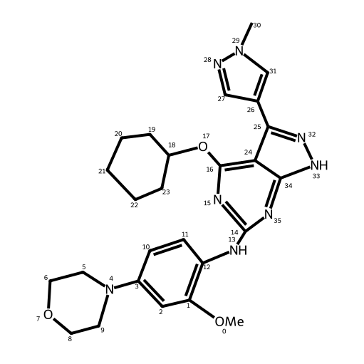 COc1cc(N2CCOCC2)ccc1Nc1nc(OC2CCCCC2)c2c(-c3cnn(C)c3)n[nH]c2n1